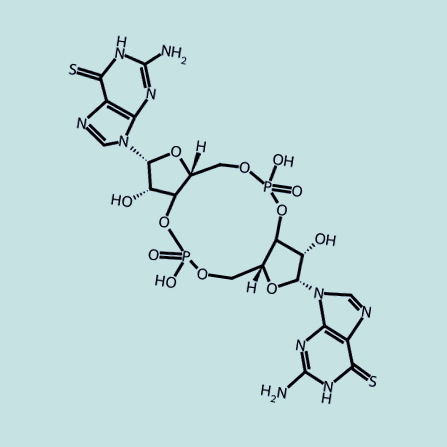 Nc1nc2c(ncn2[C@@H]2O[C@@H]3COP(=O)(O)OC4[C@@H](COP(=O)(O)OC3[C@@H]2O)O[C@@H](n2cnc3c(=S)[nH]c(N)nc32)[C@H]4O)c(=S)[nH]1